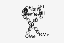 CCC1=C(C)c2cc3[nH]c(c(C)c3CC)c(C#CCCCC(=O)ON3C(=O)CCC3=O)c3nc(c4c5[nH]c(cc1n2)c(C)c5C(=O)C4)[C@@H](CCC(=O)OCc1cc(OCCOCCOCCOC)c(OCCOCCOCCOC)c(OCCOCCOCCOC)c1)[C@@H]3C